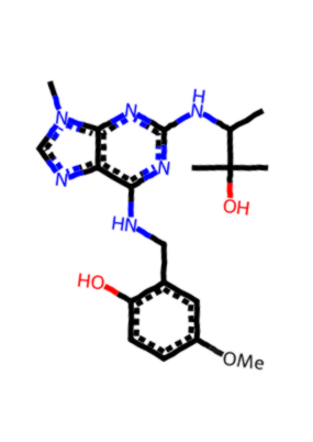 COc1ccc(O)c(CNc2nc(NC(C)C(C)(C)O)nc3c2ncn3C)c1